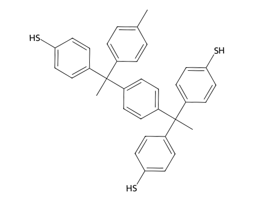 Cc1ccc(C(C)(c2ccc(S)cc2)c2ccc(C(C)(c3ccc(S)cc3)c3ccc(S)cc3)cc2)cc1